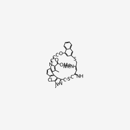 CN/C1=C\C(=N)CSCc2nn(C)c(C)c2-c2c(Cl)ccc3c2c(C)c(C(=O)OC)n3CCCOc2cc(cc3ccccc23)SC1